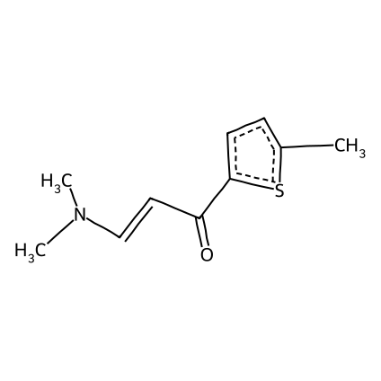 Cc1ccc(C(=O)/C=C/N(C)C)s1